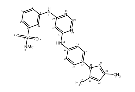 CNS(=O)(=O)c1cccc(Nc2cc(Nc3ccc(-n4nc(C)cc4C)cc3)ncn2)c1